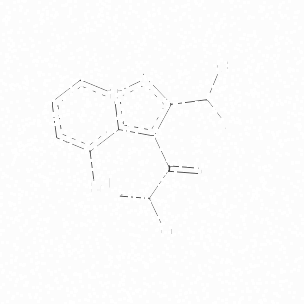 CC(C)C(=O)c1c(C(C)C)nn2cccc(Br)c12